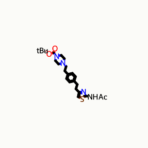 CC(=O)Nc1nc(CCc2ccc(CCN3CCN(C(=O)OC(C)(C)C)CC3)cc2)cs1